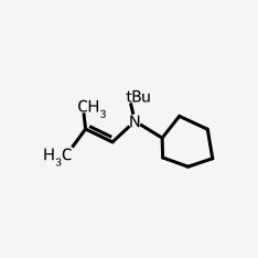 CC(C)=CN(C1CCCCC1)C(C)(C)C